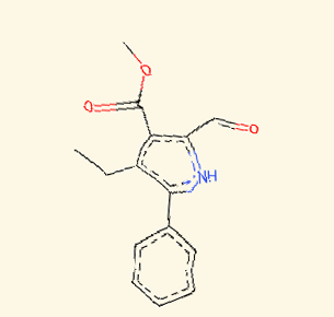 CCc1c(-c2ccccc2)[nH]c(C=O)c1C(=O)OC